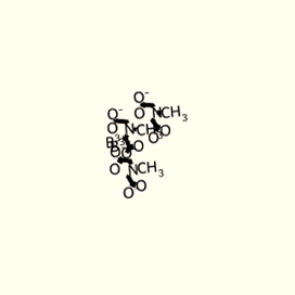 CN(CC(=O)[O-])CC(=O)[O-].CN(CC(=O)[O-])CC(=O)[O-].CN(CC(=O)[O-])CC(=O)[O-].[B+3].[B+3]